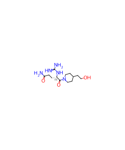 N=C(N)N[C@@H](CCC(N)=O)C(=O)N1CCC(CCO)CC1